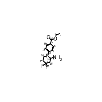 CCOC(=O)c1ccc(N2CCC(F)(F)CC2N)cc1